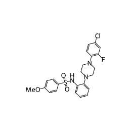 COc1ccc(S(=O)(=O)Nc2ccccc2N2CCN(c3ccc(Cl)cc3F)CC2)cc1